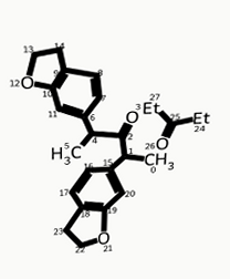 CC(C(=O)C(C)c1ccc2c(c1)OCC2)c1ccc2c(c1)OCC2.CCC(=O)CC